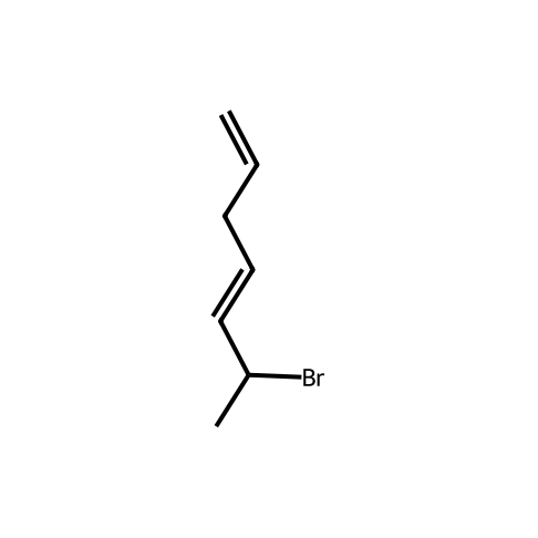 C=CCC=CC(C)Br